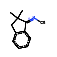 CC1(C)Cc2ccccc2/C1=N\C#N